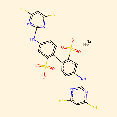 O=S(=O)([O-])c1cc(Nc2nc(S)cc(S)n2)ccc1-c1ccc(Nc2nc(S)cc(S)n2)cc1S(=O)(=O)[O-].[Na+].[Na+]